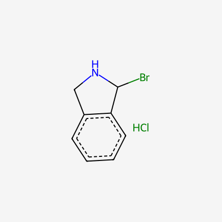 BrC1NCc2ccccc21.Cl